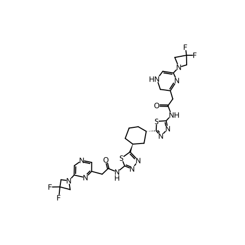 O=C(CC1=NC(N2CC(F)(F)C2)=CNC1)Nc1nnc([C@H]2CCC[C@H](c3nnc(NC(=O)Cc4cncc(N5CC(F)(F)C5)n4)s3)C2)s1